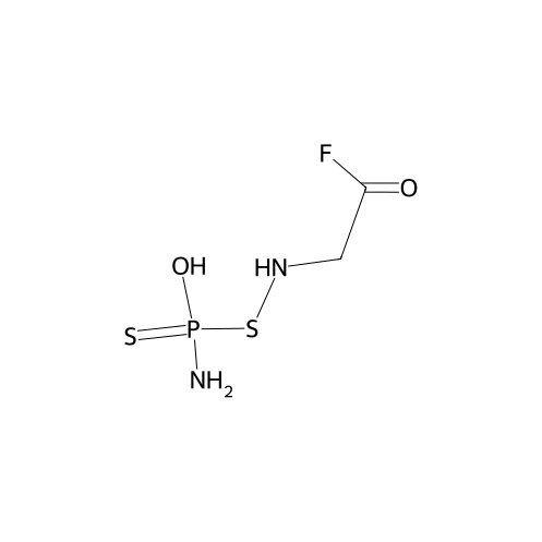 NP(O)(=S)SNCC(=O)F